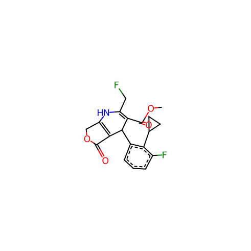 COC(=O)C1=C(CF)NC2=C(C(=O)OC2)C1c1cccc(F)c1C1CC1